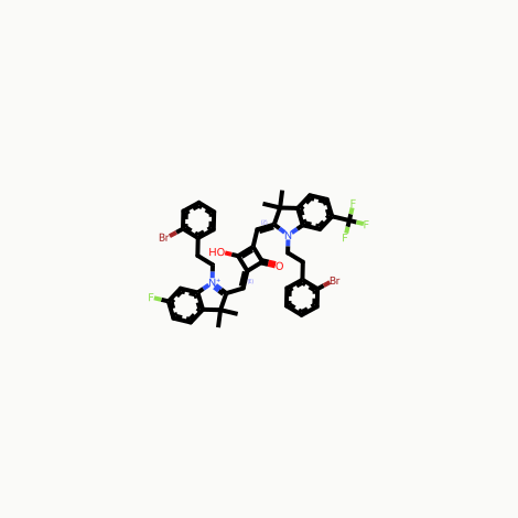 CC1(C)C(/C=C2/C(=O)C(/C=C3\N(CCc4ccccc4Br)c4cc(C(F)(F)F)ccc4C3(C)C)=C2O)=[N+](CCc2ccccc2Br)c2cc(F)ccc21